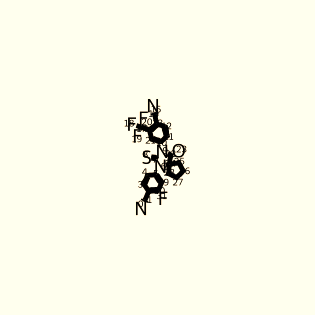 N#Cc1ccc(N2C(=S)N(c3ccc(C#N)c(C(F)(F)F)c3)C(=O)C23CCCC3)cc1F